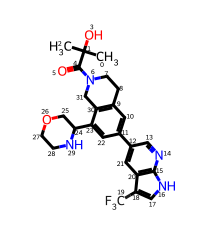 CC(C)(O)C(=O)N1CCc2cc(-c3cnc4[nH]cc(C(F)(F)F)c4c3)cc(C3COCCN3)c2C1